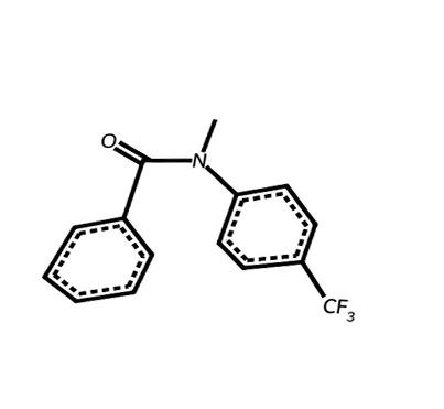 CN(C(=O)c1ccccc1)c1ccc(C(F)(F)F)cc1